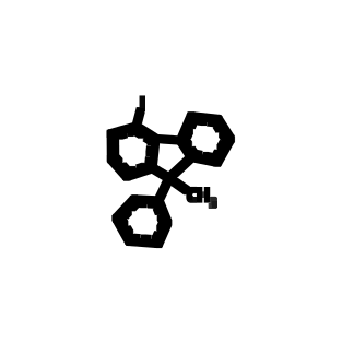 CC1(c2ccccc2)c2ccccc2-c2c(I)cccc21